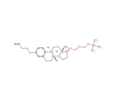 CNCCOc1ccc2c(c1)CC[C@@H]1[C@@H]2CC[C@]2(C)[C@@H](OCCCOC(C(F)(F)F)(C(F)(F)F)C(F)(F)F)CC[C@@H]12